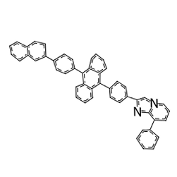 c1ccc(-c2cccn3cc(-c4ccc(-c5c6ccccc6c(-c6ccc(-c7ccc8ccccc8c7)cc6)c6ccccc56)cc4)nc23)cc1